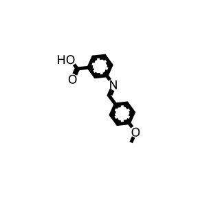 COc1ccc(/C=N/c2cccc(C(=O)O)c2)cc1